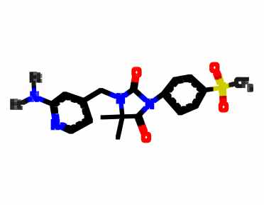 CCN(CC)c1cc(CN2C(=O)N(c3ccc(S(=O)(=O)C(F)(F)F)cc3)C(=O)C2(C)C)ccn1